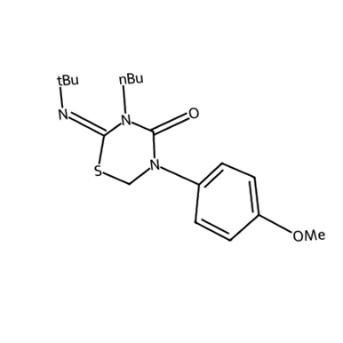 CCCCN1C(=O)N(c2ccc(OC)cc2)CSC1=NC(C)(C)C